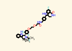 C[C@@H]1Cc2c([nH]c3ccccc23)[C@@H](c2c(F)cc(OCCCOCCC(=O)NCc3ccc(-c4[nH]c5cc(F)cc6c5c4CCNC6=O)cc3)cc2F)N1CC(C)(C)F